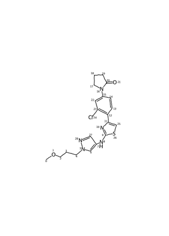 COCCCn1cc(Nc2nc(-c3ccc(N4CCCC4=O)cc3Cl)cs2)cn1